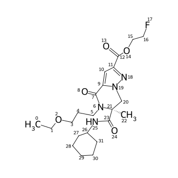 CCOCCCN1C(=O)c2cc(C(=O)OCCF)nn2C[C@@]1(C)C(=O)NC1CCCCC1